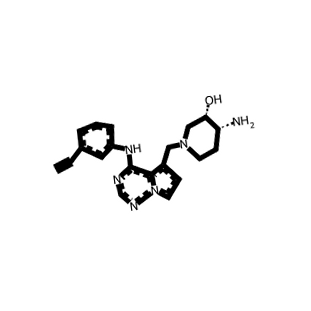 C#Cc1cccc(Nc2ncnn3ccc(CN4CC[C@@H](N)[C@@H](O)C4)c23)c1